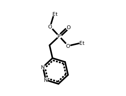 CCOP(=O)(Cc1cccnn1)OCC